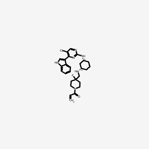 C=CC(=O)N1CCC(F)(CN[C@H]2CCC[C@@H](Nc3ncc(Cl)c(-c4c[nH]c5ccccc45)n3)C2)CC1